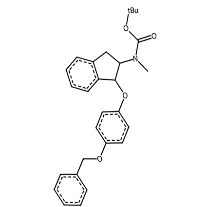 CN(C(=O)OC(C)(C)C)C1Cc2ccccc2C1Oc1ccc(OCc2ccccc2)cc1